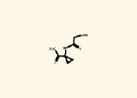 COCC(=O)NC1(C(=O)OC)CC1